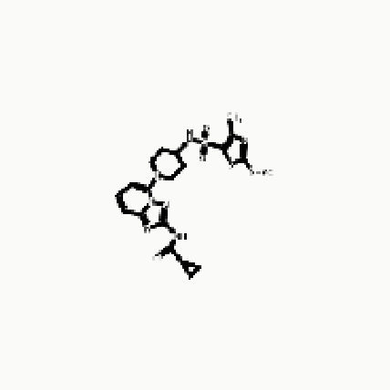 CC(=O)Nc1nc(C)c(S(=O)(=O)NC2CCN(c3cccc4nc(NC(=O)C5CC5)nn34)CC2)s1